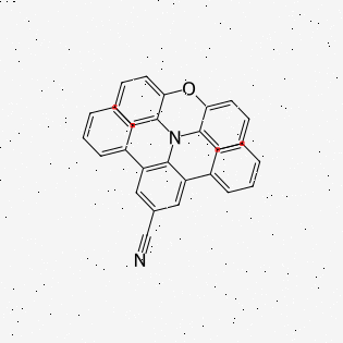 N#Cc1cc(-c2ccccc2)c(N2c3ccccc3Oc3ccccc32)c(-c2ccccc2)c1